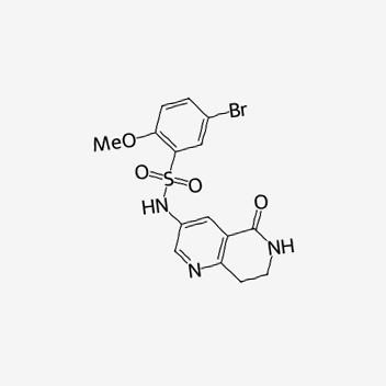 COc1ccc(Br)cc1S(=O)(=O)Nc1cnc2c(c1)C(=O)NCC2